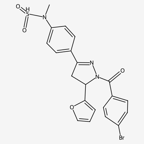 CN(c1ccc(C2=NN(C(=O)c3ccc(Br)cc3)C(c3ccco3)C2)cc1)[SH](=O)=O